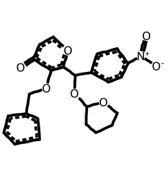 O=c1ccoc(C(OC2CCCCO2)c2ccc([N+](=O)[O-])cc2)c1OCc1ccccc1